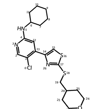 Clc1cnc(NC2CCCCC2)cc1-c1csc(SCC2CCOCC2)n1